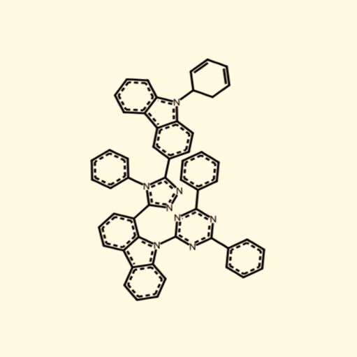 C1=CCC(n2c3ccccc3c3cc(-c4nnc(-c5cccc6c7ccccc7n(-c7nc(-c8ccccc8)nc(-c8ccccc8)n7)c56)n4-c4ccccc4)ccc32)C=C1